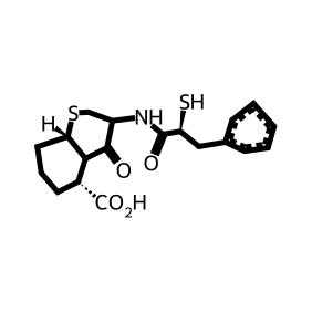 O=C1C(NC(=O)[C@@H](S)Cc2ccccc2)CS[C@H]2CCC[C@@H](C(=O)O)C12